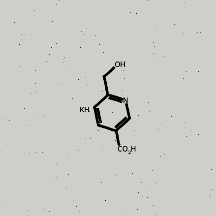 O=C(O)c1ccc(CO)nc1.[KH]